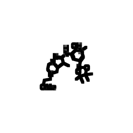 COCCN1CCN2N=C(NC3=CC(B4OC(C)(C)C(C)(C)O4)=CN(C)C3O)C(C)C2C1